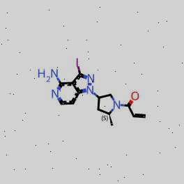 C=CC(=O)N1CC(n2nc(I)c3c(N)nccc32)C[C@@H]1C